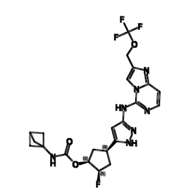 O=C(NC12CC(C1)C2)O[C@H]1C[C@@H](c2cc(Nc3nccc4nc(COC(F)(F)F)cn34)n[nH]2)C[C@H]1F